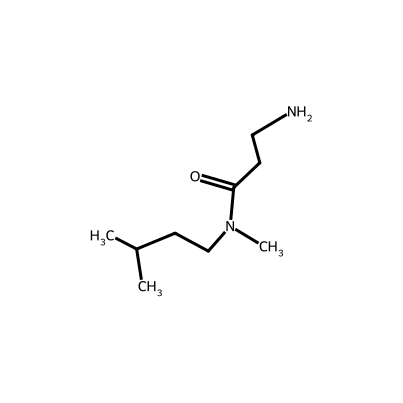 CC(C)CCN(C)C(=O)CCN